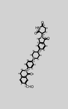 O=Cc1ccc2c(c1)C(=O)N(c1ccc(N3CCC(c4ccc5c(c4)CN(C4CCC(=O)NC4=O)C5=O)CC3)cc1)CC2